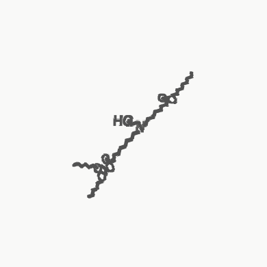 CCCCCCCCCOC(=O)CCCCCCCN(CCO)CCCCCCCCCC(=O)OC(COCCCCCC)COCCCCCC